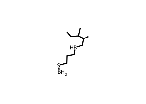 BSCCCBC[C@H](C)C(C)CC